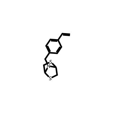 C=Cc1ccc(CN2C3CSC2CS3)cc1